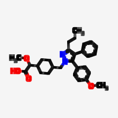 CCCc1nn(CC2CCC(C(OC)C(=O)O)CC2)c(-c2ccc(OC)cc2)c1-c1ccccc1